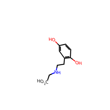 O=C(O)CNCCc1cc(O)ccc1O